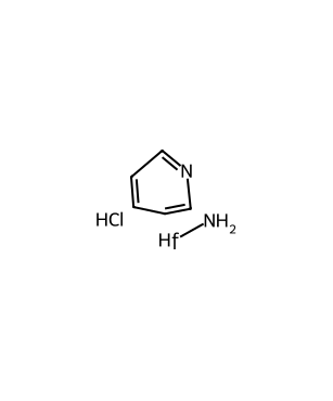 Cl.[NH2][Hf].c1ccncc1